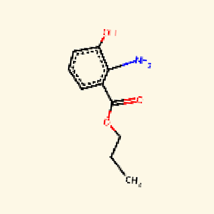 CCCOC(=O)c1cccc(O)c1N